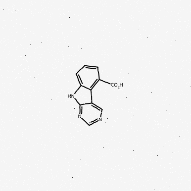 O=C(O)c1cccc2[nH]c3ncncc3c12